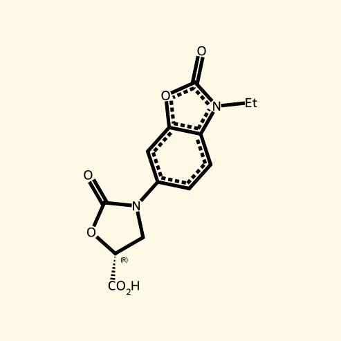 CCn1c(=O)oc2cc(N3C[C@H](C(=O)O)OC3=O)ccc21